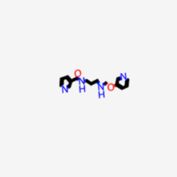 O=C(NCCCNCOc1cccnc1)c1cccnc1